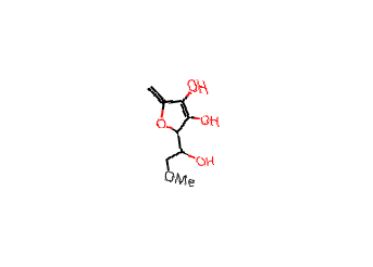 C=C1OC(C(O)COC)C(O)=C1O